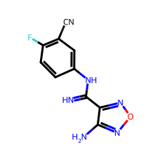 N#Cc1cc(NC(=N)c2nonc2N)ccc1F